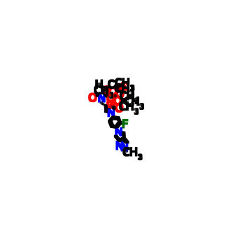 CC(=O)N(C[C@H]1CN(c2ccc(N3Cc4cn(C)nc4C3)c(F)c2)C(=O)O1)C(=O)OC(OP=O)(OC(C)(C)C)OC(C)(C)C